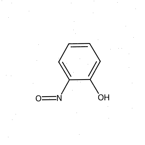 O=Nc1ccccc1O